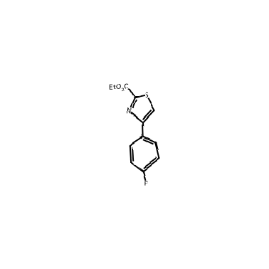 CCOC(=O)c1nc(-c2ccc(F)cc2)cs1